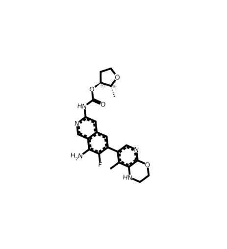 Cc1c(-c2cc3cc(NC(=O)O[C@H]4CCO[C@@H]4C)ncc3c(N)c2F)cnc2c1NCCO2